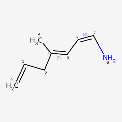 C=CC/C(C)=C/C=C\N